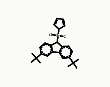 CC(C)(C)c1ccc2c(c1)-c1cc(C(C)(C)C)ccc1[CH]2[Zr]([Cl])([Cl])[CH]1C=CC=C1